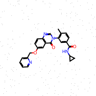 Cc1ccc(C(=O)NC2CC2)cc1-n1cnc2ccc(OCc3ccccn3)cc2c1=O